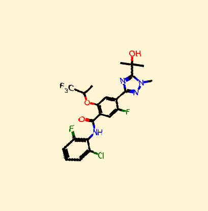 CC(Oc1cc(-c2nc(C(C)(C)O)n(C)n2)c(F)cc1C(=O)Nc1c(F)cccc1Cl)C(F)(F)F